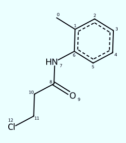 Cc1ccccc1NC(=O)CCCl